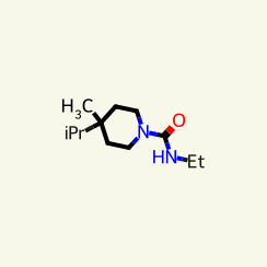 CCNC(=O)N1CCC(C)(C(C)C)CC1